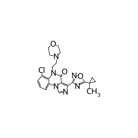 CC1(c2nc(-c3ncn4c3c(=O)n(CCN3CCOCC3)c3c(Cl)cccc34)no2)CC1